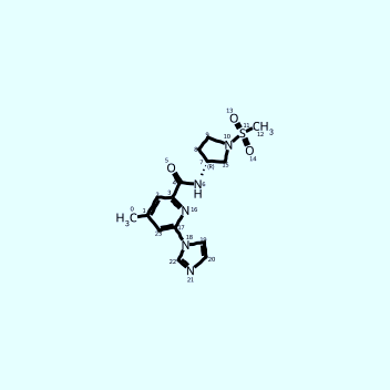 Cc1cc(C(=O)N[C@@H]2CCN(S(C)(=O)=O)C2)nc(-n2ccnc2)c1